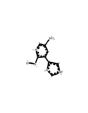 CCSc1ncc([N+](=O)[O-])cc1-c1c[nH]cn1